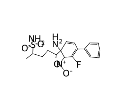 CC(CCC(C)S(N)(=O)=O)C1(N)C=CC(c2ccccc2)=C(F)C1[N+](=O)[O-]